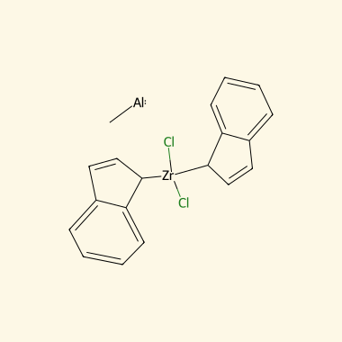 [CH3][Al].[Cl][Zr]([Cl])([CH]1C=Cc2ccccc21)[CH]1C=Cc2ccccc21